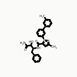 Cc1cccc(-c2cccc(-n3nc(C)cc3C(=O)NC(Cc3ccccc3)C(O)C(N)=O)c2)c1